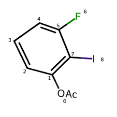 CC(=O)Oc1cccc(F)c1I